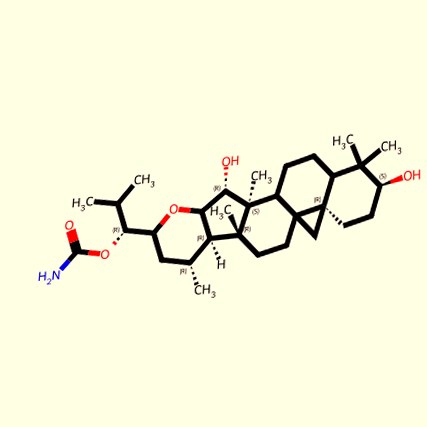 CC(C)[C@@H](OC(N)=O)C1C[C@@H](C)[C@H]2C(O1)[C@H](O)[C@@]1(C)C3CCC4C(C)(C)[C@@H](O)CC[C@@]45CC35CC[C@]21C